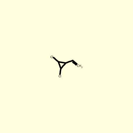 C=CC1C(Cl)C1Cl